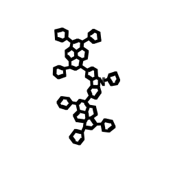 c1ccc(-c2cc(-c3ccccc3)c3ccc4c(-c5ccc6c(c5)c5cc(-c7cc(-c8ccccc8)c8ccc9c(-c%10ccccc%10)cc(-c%10ccccc%10)c%10ccc7c8c9%10)ccc5n6-c5ccccc5)cc(-c5ccccc5)c5ccc2c3c54)cc1